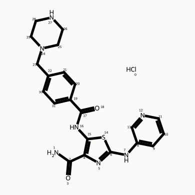 Cl.NC(=O)c1nc(Nc2cccnc2)sc1NC(=O)c1ccc(CN2CCNCC2)cc1